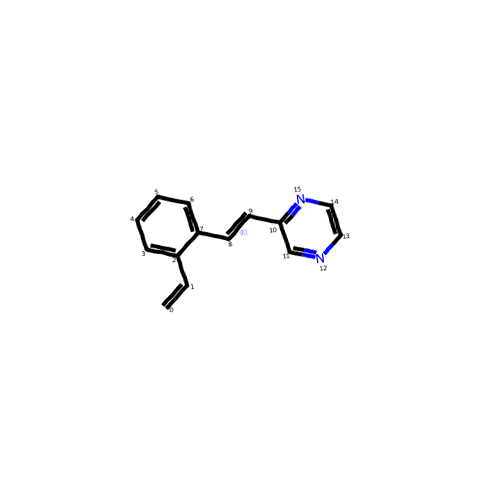 C=Cc1ccccc1/C=C/c1cnccn1